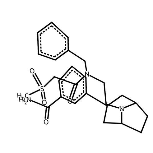 CS(=O)(=O)CC(=O)N(CCN1C2CCC1CC(c1cccc(C(N)=O)c1)C2)Cc1ccccc1